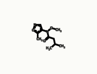 CON(C(=O)CC(C)C)c1cnoc1C